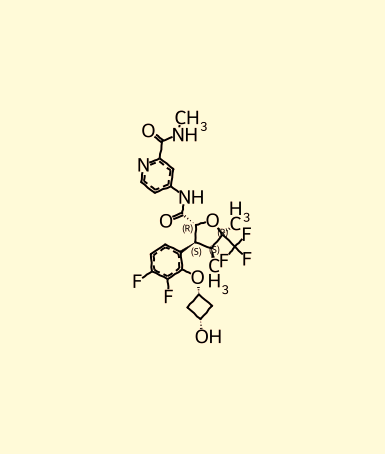 CNC(=O)c1cc(NC(=O)[C@@H]2O[C@@](C)(C(F)(F)F)[C@@H](C)[C@H]2c2ccc(F)c(F)c2O[C@H]2C[C@@H](O)C2)ccn1